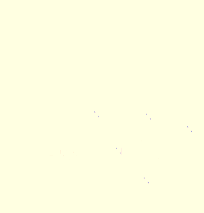 CCOC(=O)C(N=C(c1ccccc1)c1ccccc1)n1cnc2cncnc21